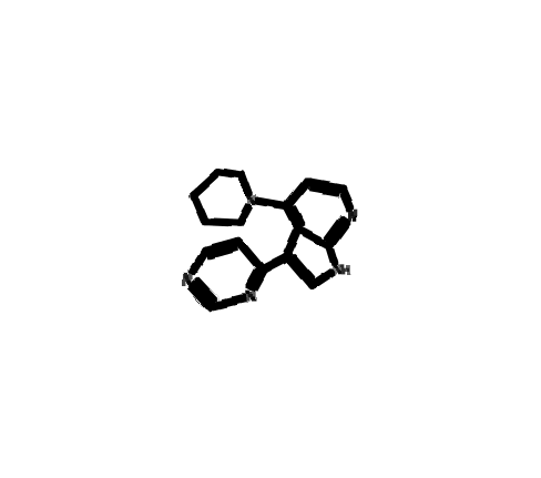 c1cc(-c2c[nH]c3nccc(N4CCCCC4)c23)ncn1